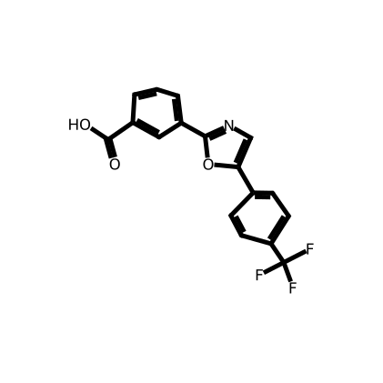 O=C(O)c1cccc(-c2ncc(-c3ccc(C(F)(F)F)cc3)o2)c1